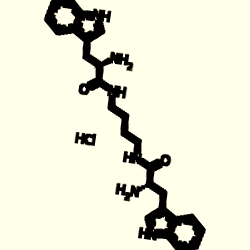 Cl.N[C@H](Cc1c[nH]c2ccccc12)C(=O)NCCCCNC(=O)[C@@H](N)Cc1c[nH]c2ccccc12